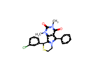 Cn1c(=O)c2c(-c3ccccc3)n3c(c2n(C)c1=O)C(c1cccc(Cl)c1)SCC3